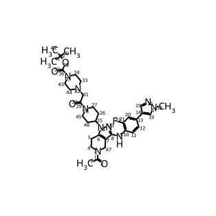 CC(=O)N1CCc2c(c(Nc3ccc(-c4cnn(C)c4)cc3F)nn2C2CCN(C(=O)CN3CCN(C(=O)OC(C)(C)C)CC3)CC2)C1